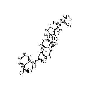 C[C@]12CCc3nc(Nc4ccccc4[N+](=O)[O-])sc3C1=CC[C@@H]1[C@@H]2CC[C@]2(C)/C(=N/NC(N)=S)CC[C@@H]12